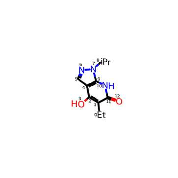 CCc1c(O)c2cnn(C(C)C)c2[nH]c1=O